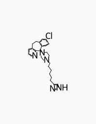 Clc1ccc2c(c1)CCc1cccnc1C2N1CCN(CCCCCCc2c[nH]cn2)CC1